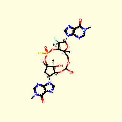 Cn1cnc2c(ncn2[C@@H]2C[C@@H]3OP(=O)(S)O[C@H]4[C@@H](F)[C@H](n5cnc6c(=O)n(C)cnc65)O[C@@H]4COC(O)O[C@@H]2[C@@H]3O)c1=O